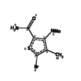 CNc1c(C(N)=O)sc(Br)c1C